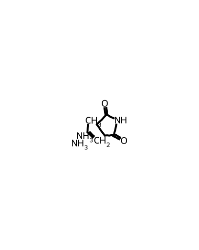 C=CC.N.N.O=C1CCC(=O)N1